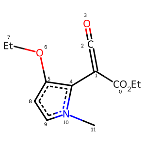 CCOC(=O)C(=C=O)c1c(OCC)ccn1C